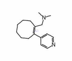 CN(C)C/C1=C(\c2ccncc2)CCCCCC1